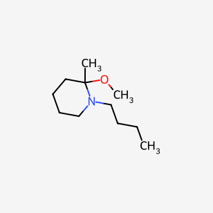 CCCCN1CCCCC1(C)OC